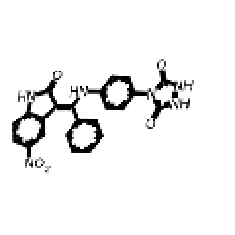 O=C1Nc2ccc([N+](=O)[O-])cc2/C1=C(/Nc1ccc(-n2c(=O)[nH][nH]c2=O)cc1)c1ccccc1